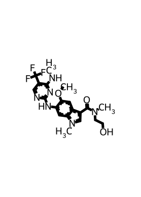 CNc1nc(Nc2cc3c(cc2OC)c(C(=O)N(C)CCO)cn3C)ncc1C(F)(F)F